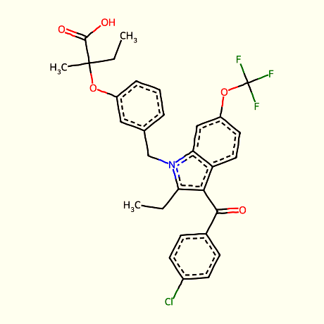 CCc1c(C(=O)c2ccc(Cl)cc2)c2ccc(OC(F)(F)F)cc2n1Cc1cccc(OC(C)(CC)C(=O)O)c1